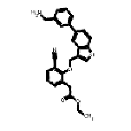 CCOC(=O)Cc1cccc(C#N)c1OCc1coc2ccc(-c3cccc(CN)c3)cc12